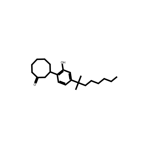 CCCCCCC(C)(C)c1ccc(C2CCCCCC(=O)C2)c(O)c1